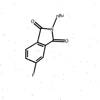 CCCCN1C(=O)c2ccc(F)cc2C1=O